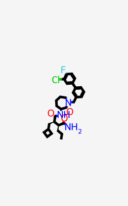 CCC[C@H](C(N)=O)[C@@H](CC1CCC1)C(=O)N[C@H]1CCCCN(Cc2cccc(-c3ccc(F)c(Cl)c3)c2)C1=O